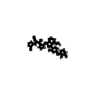 N#C/C(=C\C1CCCN1)C(=O)N1CCC[C@@H]1Cn1nc(-c2ccc(Oc3cccc(F)c3F)cc2F)c2c(N)ncnc21